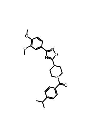 COc1ccc(-c2noc(C3CCN(C(=O)c4ccc(C(C)C)cc4)CC3)n2)cc1OC